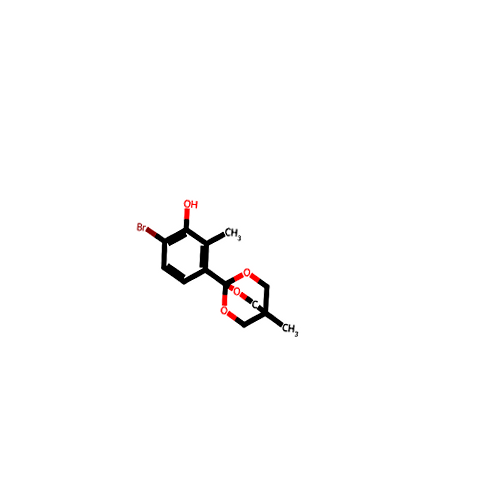 Cc1c(C23OCC(C)(CO2)CO3)ccc(Br)c1O